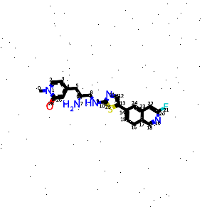 Cn1ccc(C[C@H](N)CNc2ncc(C3=CCC4C=NC(F)=CC4=C3)s2)cc1=O